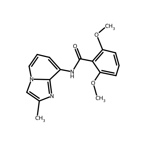 COc1cccc(OC)c1C(=O)Nc1cccn2cc(C)nc12